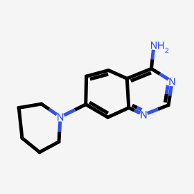 Nc1ncnc2cc(N3CCCCC3)ccc12